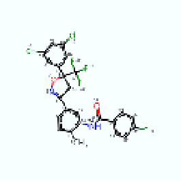 Cc1ccc(C2=NOC(c3cc(Cl)cc(Cl)c3)(C(F)(F)F)C2)cc1NC(=O)c1ccc(F)cc1